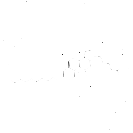 CC(C)CCC[C@@H](C)[C@H]1CCC2[C@@H]3CC=C4C[C@@H](CCCCCCCCCO)CC[C@]4(C)C3CC[C@@]21C